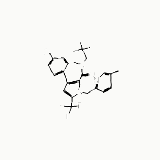 Cc1ccc(Cn2c(C(F)(F)F)cc(-c3ccc(Cl)cc3)c2C(=O)N(C)CC(C)(C)C)nc1